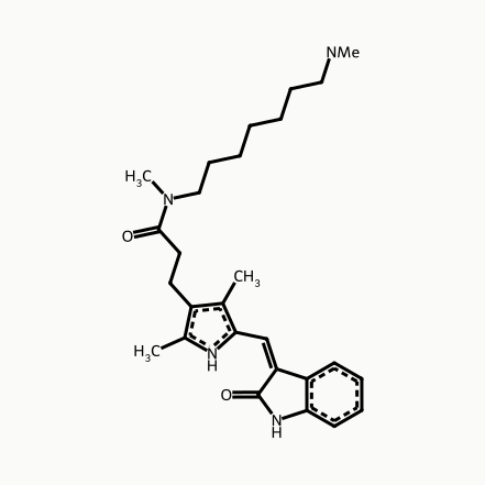 CNCCCCCCCN(C)C(=O)CCc1c(C)[nH]c(/C=C2\C(=O)Nc3ccccc32)c1C